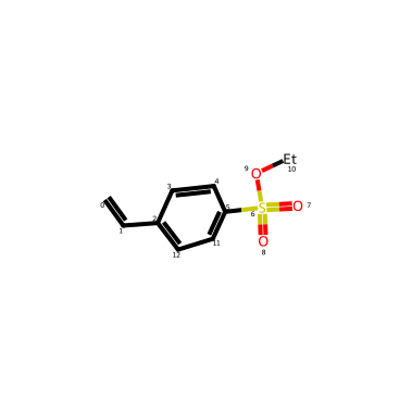 C=Cc1ccc(S(=O)(=O)OCC)cc1